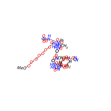 COCCOCCOCCOCCOCCOCCOCCOCCC(=O)N[C@@H](CCCCNC(=O)CN1C(=O)C=CC1=O)C(=O)N[C@H](C(=O)N[C@@H](C)C(=O)Nc1ccc(COC(=O)N(C)Cc2ccccc2C(=O)Nc2nc3c(ncn3[C@@H]3O[C@@H]4CO[P@@](=O)(S)O[C@H]5C[C@H](Oc6ccncn6)C[C@@H]5CCO[P@@](=O)(S)O[C@@H]3[C@@H]4O)c(=O)[nH]2)cc1)C(C)C